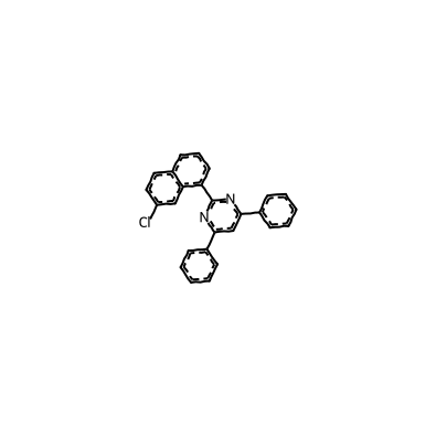 Clc1ccc2cccc(-c3nc(-c4ccccc4)cc(-c4ccccc4)n3)c2c1